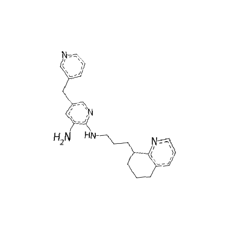 Nc1cc(Cc2cccnc2)cnc1NCCCC1CCCc2cccnc21